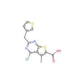 Cc1c(C(=O)O)sc2nc(Cc3ccsc3)nc(Cl)c12